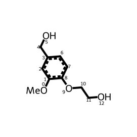 COc1cc(CO)ccc1OCCO